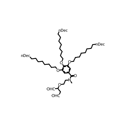 CCCCCCCCCCCCCCCCCCOc1cc(C(=O)N(C)CCOC([C]=O)C[C]=O)cc(OCCCCCCCCCCCCCCCCCC)c1OCCCCCCCCCCCCCCCCCC